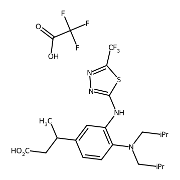 CC(C)CN(CC(C)C)c1ccc(C(C)CC(=O)O)cc1Nc1nnc(C(F)(F)F)s1.O=C(O)C(F)(F)F